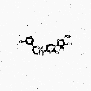 O=c1nc(N[P@@]2(=O)OCC[C@@H](c3cccc(Cl)c3)O2)ccn1[C@@H]1O[C@H](CO)[C@@H](O)C1(F)F